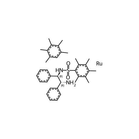 Cc1c(C)c(C)c(S(=O)(=O)N[C@H](c2ccccc2)[C@H](N)c2ccccc2)c(C)c1C.Cc1cc(C)c(C)c(C)c1C.[Ru]